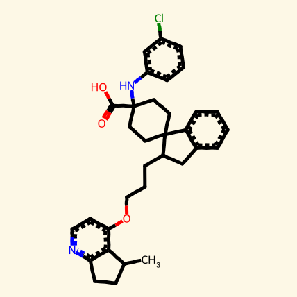 CC1CCc2nccc(OCCCC3Cc4ccccc4C34CCC(Nc3cccc(Cl)c3)(C(=O)O)CC4)c21